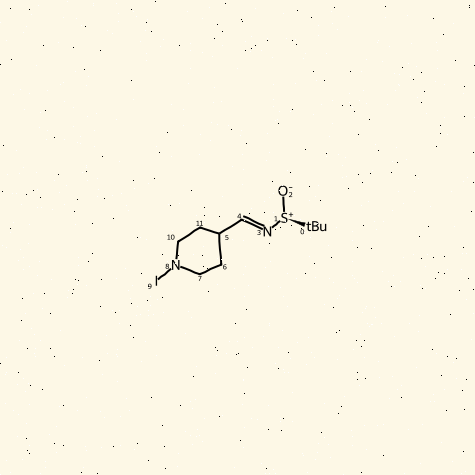 CC(C)(C)[S@+]([O-])/N=C/C1CCN(I)CC1